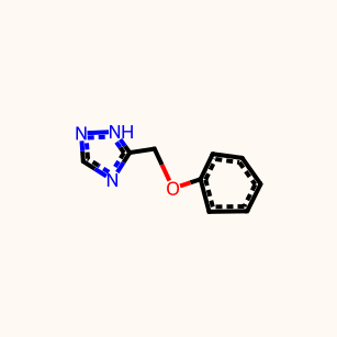 c1ccc(OCc2ncn[nH]2)cc1